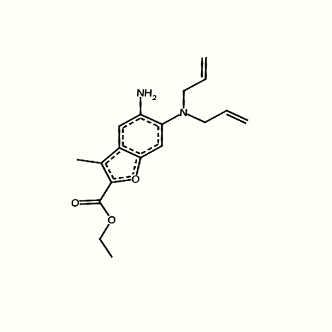 C=CCN(CC=C)c1cc2oc(C(=O)OCC)c(C)c2cc1N